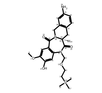 COc1cc2c(cc1O)N(COCC[Si](C)(C)C)C(=O)[C@@H]1Cc3ccc(N)cc3CN1C2=O